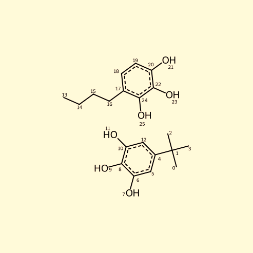 CC(C)(C)c1cc(O)c(O)c(O)c1.CCCCc1ccc(O)c(O)c1O